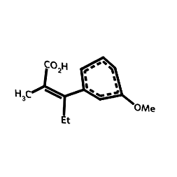 CC/C(=C(\C)C(=O)O)c1cccc(OC)c1